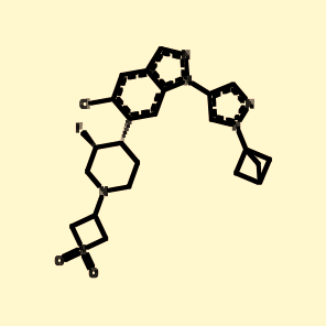 O=S1(=O)CC(N2CC[C@@H](c3cc4c(cnn4-c4cnn(C56CC(C5)C6)c4)cc3Cl)[C@H](F)C2)C1